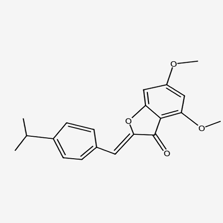 COc1cc(OC)c2c(c1)O/C(=C\c1ccc(C(C)C)cc1)C2=O